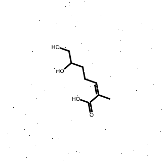 CC(=CCCC(O)CO)C(=O)O